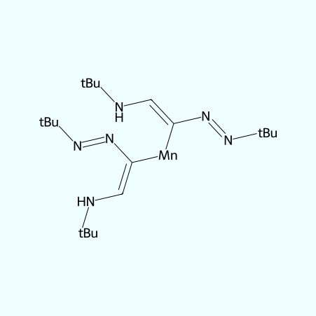 CC(C)(C)N=N[C](=CNC(C)(C)C)[Mn][C](=CNC(C)(C)C)N=NC(C)(C)C